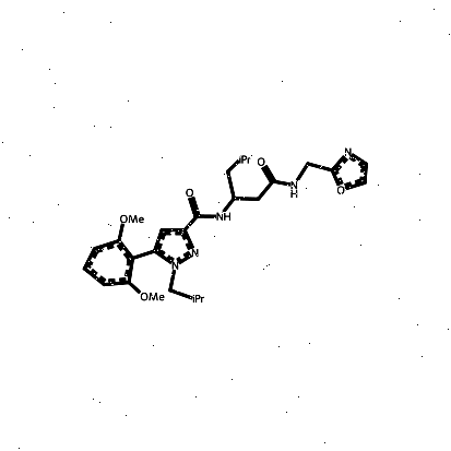 COc1cccc(OC)c1-c1cc(C(=O)NC(CC(=O)NCc2ncco2)CC(C)C)nn1CC(C)C